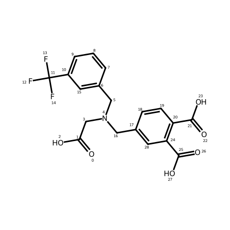 O=C(O)CN(Cc1cccc(C(F)(F)F)c1)Cc1ccc(C(=O)O)c(C(=O)O)c1